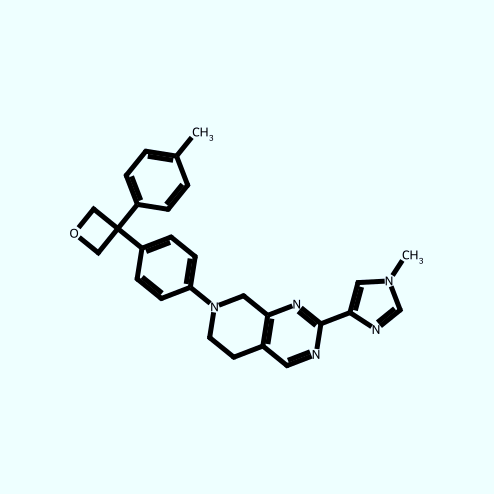 Cc1ccc(C2(c3ccc(N4CCc5cnc(-c6cn(C)cn6)nc5C4)cc3)COC2)cc1